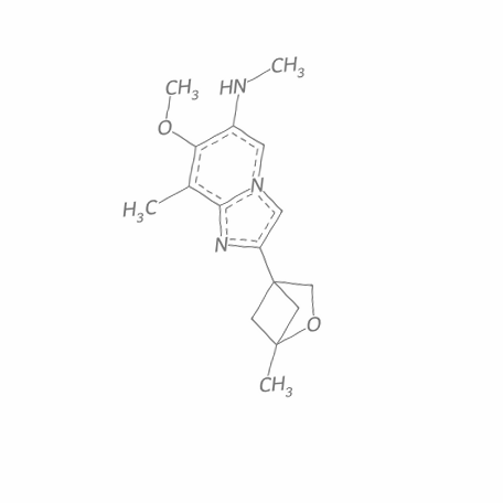 CNc1cn2cc(C34COC(C)(C3)C4)nc2c(C)c1OC